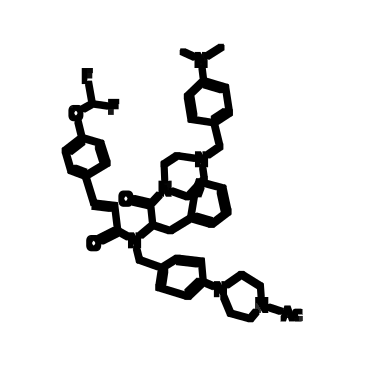 CC(=O)N1CCN(c2ccc(CN(C(=O)C=Cc3ccc(OC(F)F)cc3)C(Cc3ccccc3)C(=O)N3CCN(Cc4ccc(N(C)C)cc4)CC3)cc2)CC1